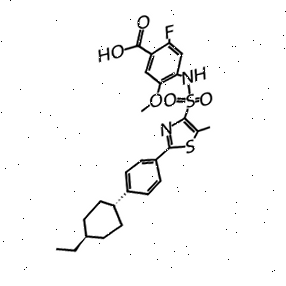 CC[C@H]1CC[C@H](c2ccc(-c3nc(S(=O)(=O)Nc4cc(F)c(C(=O)O)cc4OC)c(C)s3)cc2)CC1